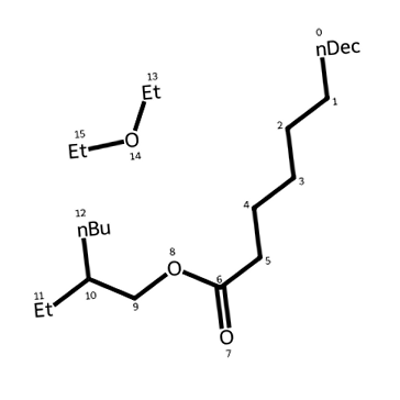 CCCCCCCCCCCCCCCC(=O)OCC(CC)CCCC.CCOCC